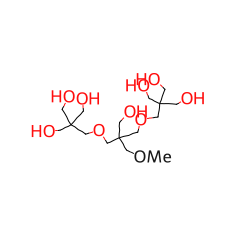 COCC(CO)(COCC(CO)(CO)CO)COCC(CO)(CO)CO